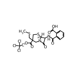 CSCC1(C(=O)OCC(Cl)(Cl)Cl)CS[C@@H]2C(NC(=O)c3ccccc3C(=O)O)C(=O)N2C1